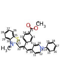 COC(=O)c1ccc(/C(C=C2C=CN(c3ccccc3)C=C2)=C\c2sc3ccccc3[n+]2C)cc1